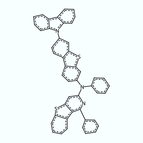 c1ccc(-c2nc(N(c3ccccc3)c3ccc4c(c3)sc3cc(-n5c6ccccc6c6ccccc65)ccc34)cc3sc4ccccc4c23)cc1